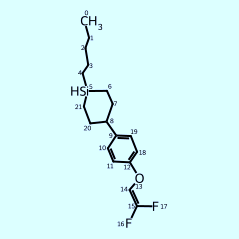 CCCCC[SiH]1CCC(c2ccc(OC=C(F)F)cc2)CC1